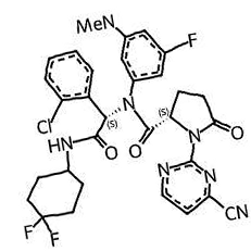 CNc1cc(F)cc(N(C(=O)[C@@H]2CCC(=O)N2c2nccc(C#N)n2)[C@H](C(=O)NC2CCC(F)(F)CC2)c2ccccc2Cl)c1